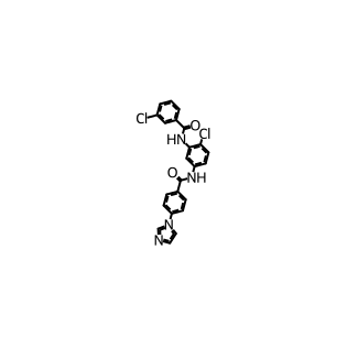 O=C(Nc1ccc(Cl)c(NC(=O)c2cccc(Cl)c2)c1)c1ccc(-n2ccnc2)cc1